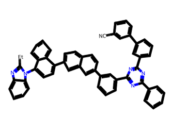 CCc1nc2ccccc2n1-c1ccc(-c2ccc3ccc(-c4cccc(-c5nc(-c6ccccc6)nc(-c6cccc(-c7cccc(C#N)c7)c6)n5)c4)cc3c2)c2ccccc12